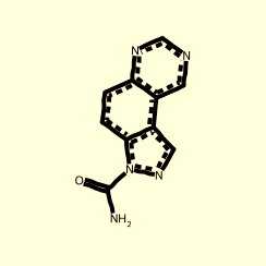 NC(=O)n1ncc2c3cncnc3ccc21